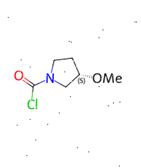 CO[C@H]1CCN(C(=O)Cl)C1